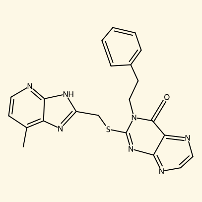 Cc1ccnc2[nH]c(CSc3nc4nccnc4c(=O)n3CCc3ccccc3)nc12